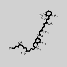 CC1=C(/C=C/C(C)=C/C=C/C(C)=C/C(=O)Oc2cc(C)c3c(c2)CCC(C)(CCCC(C)CCCC(C)CCCC(C)C)O3)C(C)(C)CCC1